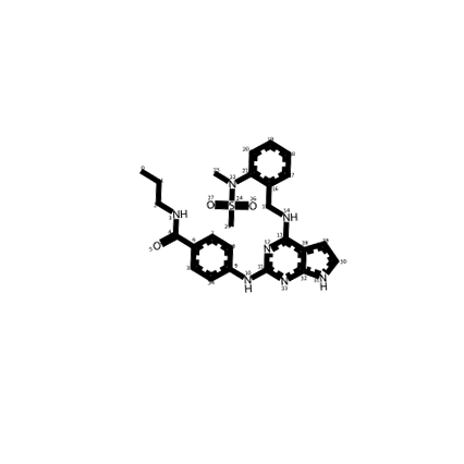 CCCNC(=O)c1ccc(Nc2nc(NCc3ccccc3N(C)S(C)(=O)=O)c3cc[nH]c3n2)cc1